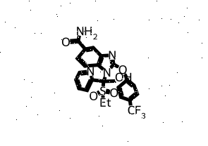 CCS(=O)(=O)C(CO)(c1ccccn1)n1c(Oc2ccc(C(F)(F)F)cc2)nc2cc(C(N)=O)ccc21